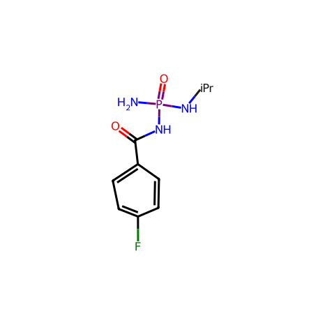 CC(C)NP(N)(=O)NC(=O)c1ccc(F)cc1